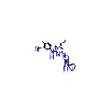 CCCc1cc(N2CC[C@H](N(C)c3ccc[nH]3)C2)nc(Nc2ccc(C)c(C#N)c2)n1